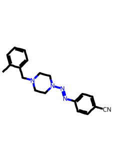 Cc1ccccc1CN1CCN(N=Nc2ccc(C#N)cc2)CC1